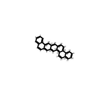 c1ccc2c(c1)ccc1cc3cc4c(ccc5c6ccccc6ccc45)cc3cc12